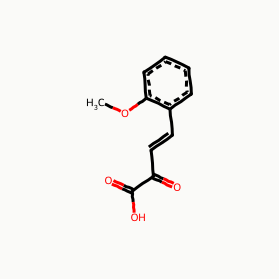 COc1ccccc1C=CC(=O)C(=O)O